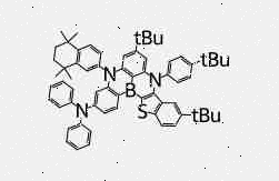 CC(C)(C)c1ccc(N2c3cc(C(C)(C)C)cc4c3B(c3ccc(N(c5ccccc5)c5ccccc5)cc3N4c3ccc4c(c3)C(C)(C)CCC4(C)C)c3sc4ccc(C(C)(C)C)cc4c32)cc1